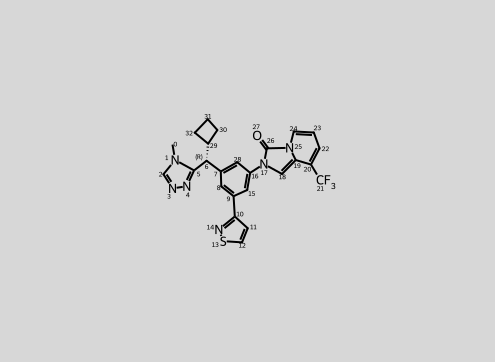 Cn1cnnc1[C@@H](c1cc(-c2ccsn2)cc(-n2cc3c(C(F)(F)F)cccn3c2=O)c1)C1CCC1